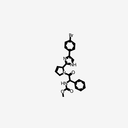 COC(=O)NC(C(=O)N1CC=CC1c1nc(-c2ccc(Br)cc2)c[nH]1)c1ccccc1